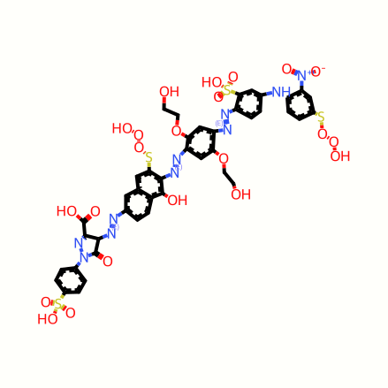 O=C(O)C1=NN(c2ccc(S(=O)(=O)O)cc2)C(=O)C1/N=N/c1ccc2c(O)c(/N=N/c3cc(OCCO)c(/N=N/c4ccc(Nc5ccc(SOOO)cc5[N+](=O)[O-])cc4S(=O)(=O)O)cc3OCCO)c(SOOO)cc2c1